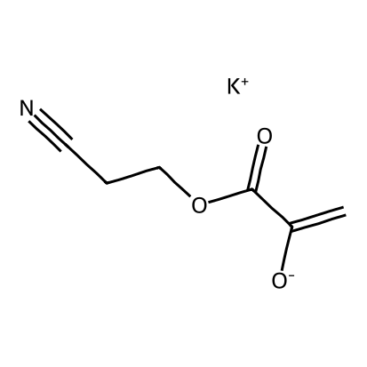 C=C([O-])C(=O)OCCC#N.[K+]